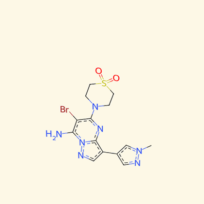 Cn1cc(-c2cnn3c(N)c(Br)c(N4CCS(=O)(=O)CC4)nc23)cn1